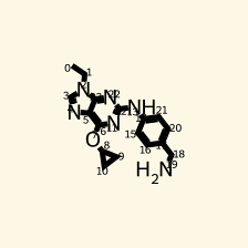 CCn1cnc2c(OC3CC3)nc(Nc3ccc(CN)cc3)nc21